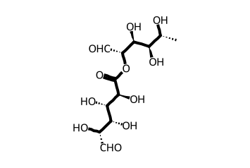 C[C@@H](O)[C@@H](O)[C@H](O)[C@@H](C=O)OC(=O)[C@@H](O)[C@@H](O)[C@H](O)[C@@H](O)C=O